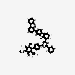 Bc1c(B)c(B)c(-c2ccc(-c3nc(-c4ccccc4)nc(-c4cccc5c4oc4cc(-c6cccc7c6sc6ccccc67)ccc45)n3)cc2)c(B)c1B